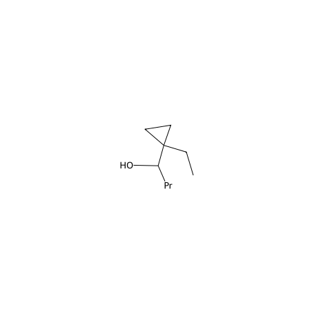 CCC1([CH](O)[Pr])CC1